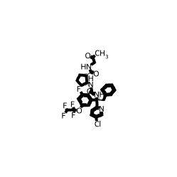 CC(=O)CNC(=O)[C@H]1CCC[C@H]1NC(=O)N[C@@](Cc1ccccc1)(c1cc(F)cc(OC(F)(F)C(F)F)c1)c1ccc(Cl)cn1